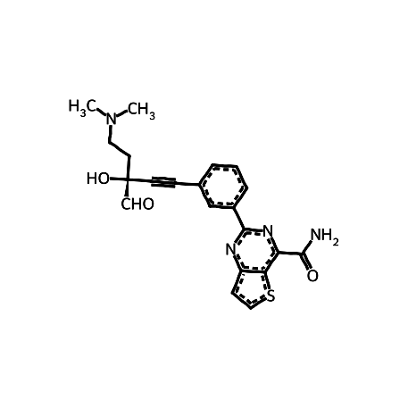 CN(C)CC[C@@](O)(C#Cc1cccc(-c2nc(C(N)=O)c3sccc3n2)c1)C=O